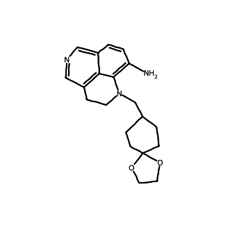 Nc1ccc2cncc3c2c1N(CC1CCC2(CC1)OCCO2)CC3